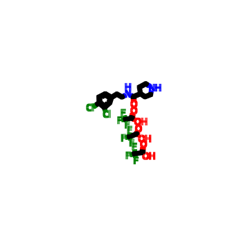 O=C(NCCc1ccc(Cl)c(Cl)c1)C1CCNCC1.O=C(O)C(F)(F)F.O=C(O)C(F)(F)F.O=C(O)C(F)(F)F